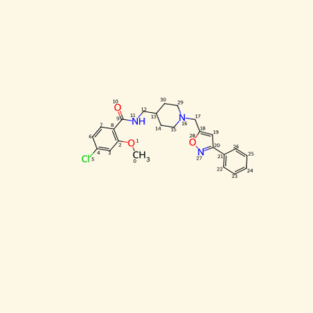 COc1cc(Cl)ccc1C(=O)NCC1CCN(Cc2cc(-c3ccccc3)no2)CC1